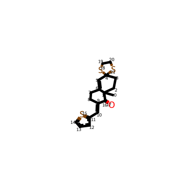 CC12CCC3(C=C1CCC(=Cc1cccs1)C2=O)SCCS3